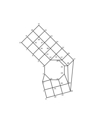 C1C2C3C4C5C6C7C8CC9C%10CC%11C%12C%13C%14C%15C%16C%17C%18C1C21C34C2C3C4C%19C%15(C%164C%173C%1821)C%141C5%19C62C73C98C%10%11C%123C%1312